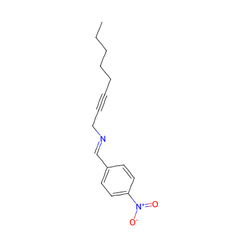 CCCCCC#CC/N=C/c1ccc([N+](=O)[O-])cc1